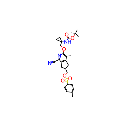 Cc1ccc(S(=O)(=O)OCC2Cc3c(C#N)nc(OCC4(NC(=O)OC(C)(C)C)CC4)c(C)c3C2)cc1